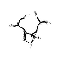 FC(F)C1=C[N]N=C1C(F)F